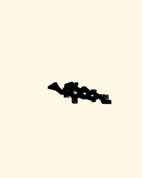 CCNc1nc2cc3c(cc2s1)C(=O)[C@@H]1[C@H](C)[C@]3(C)CCN1CC1CC1